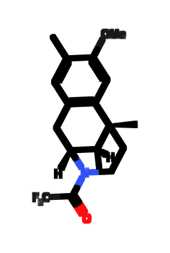 COc1cc2c(cc1C)C[C@@H]1[C@@H](C)[C@@]2(C)CCN1C(=O)C(F)(F)F